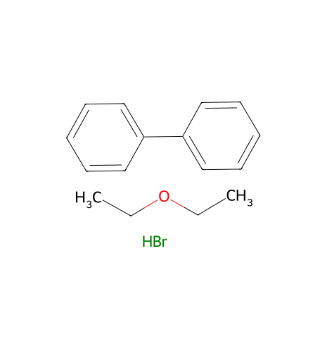 Br.CCOCC.c1ccc(-c2ccccc2)cc1